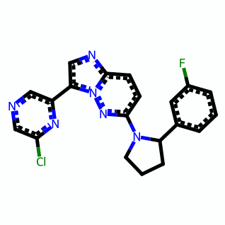 Fc1cccc(C2CCCN2c2ccc3ncc(-c4cncc(Cl)n4)n3n2)c1